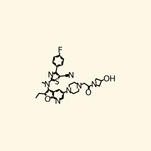 CCc1oc2ncc(N3CCN(CC(=O)N4CC(O)C4)CC3)cc2c1N(C)c1nc(-c2ccc(F)cc2)c(C#N)s1